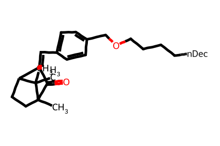 CCCCCCCCCCCCCCOCc1ccc(C=C2C(=O)C3(C)CCC2C3(C)C)cc1